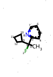 CC(F)(c1ccccn1)C1CCC1